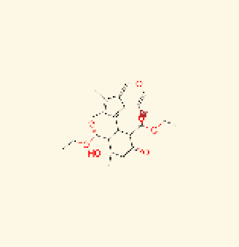 CCOC(=O)C1C(=O)CC(C)(O)C(C(=O)OCC)C1c1c(C)c(C)c2cocc(Br)c1-2